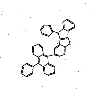 c1ccc(-c2c3ccccc3c(-c3ccc4oc5c6ccccc6n(-c6ccccc6)c5c4c3)c3ccccc23)cc1